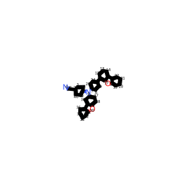 N#Cc1ccc(N(c2ccc(-c3cccc4c3oc3ccccc34)cc2)c2ccc3oc4ccccc4c3c2)cc1